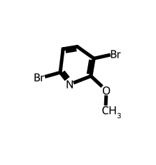 COc1nc(Br)ccc1Br